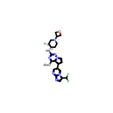 COc1nc(N[C@H]2CCN(C3COC3)C[C@H]2F)nn2ccc(-c3cnc4ncc(C(F)F)n4c3)c12